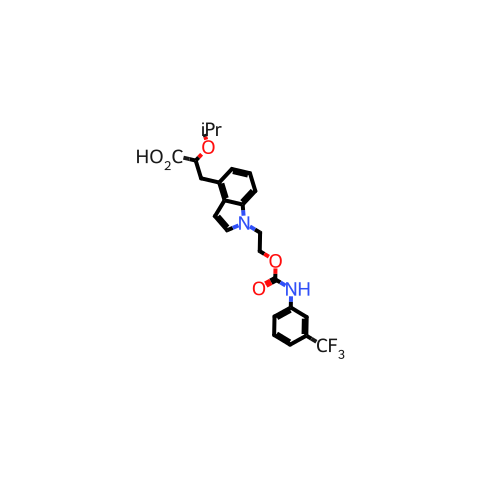 CC(C)OC(Cc1cccc2c1ccn2CCOC(=O)Nc1cccc(C(F)(F)F)c1)C(=O)O